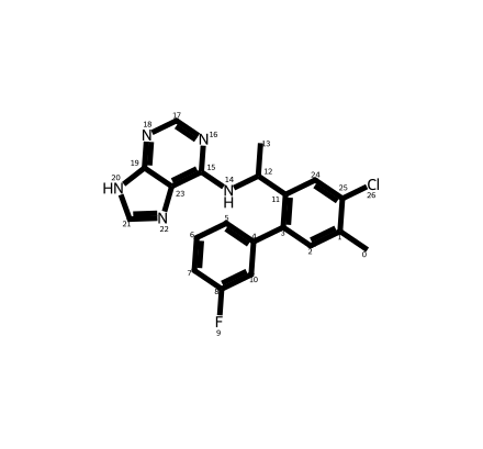 Cc1[c]c(-c2cccc(F)c2)c(C(C)Nc2ncnc3[nH]cnc23)cc1Cl